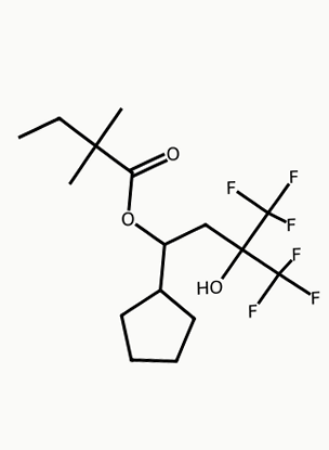 CCC(C)(C)C(=O)OC(CC(O)(C(F)(F)F)C(F)(F)F)C1CCCC1